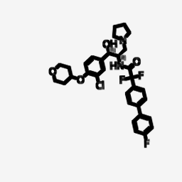 O=C(N[C@H](CN1CCCC1)[C@H](O)c1ccc(OC2CCOCC2)c(Cl)c1)C(F)(F)c1ccc(-c2ccc(F)cc2)cc1